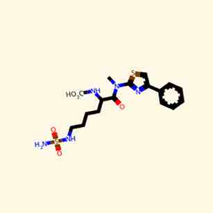 CN(C(=O)C(CCCCNS(N)(=O)=O)NC(=O)O)c1nc(-c2ccccc2)cs1